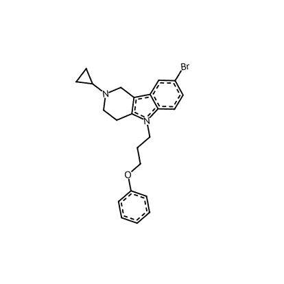 Brc1ccc2c(c1)c1c(n2CCCOc2ccccc2)CCN(C2CC2)C1